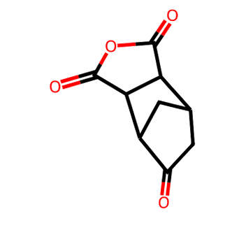 O=C1CC2CC1C1C(=O)OC(=O)C21